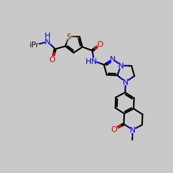 CC(C)NC(=O)c1cc(C(=O)Nc2cc3n(n2)CCN3c2ccc3c(c2)CCN(C)C3=O)cs1